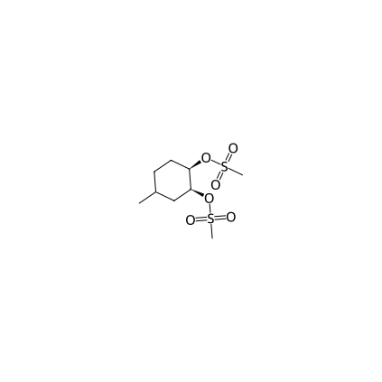 CC1CC[C@@H](OS(C)(=O)=O)[C@@H](OS(C)(=O)=O)C1